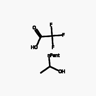 CCCCCC(C)O.O=C(O)C(F)(F)F